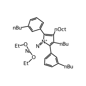 CCCCCCCCC1=C(c2cccc(CCCC)c2)[N+](=[N-])C(c2cccc(CCCC)c2)=C1CCCC.CC[O][Ni][O]CC